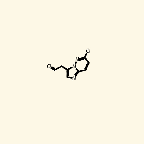 O=CCc1cnc2ccc(Cl)nn12